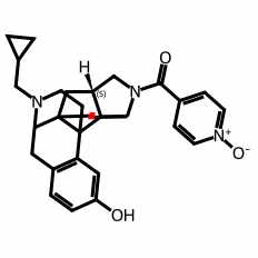 O=C(c1cc[n+]([O-])cc1)N1C[C@H]2CC34CCC1C2C31CCN(CC2CC2)C4Cc2ccc(O)cc21